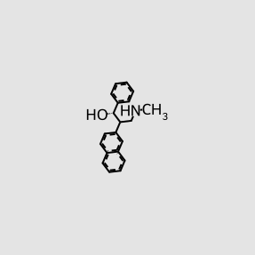 CNCC(c1ccc2ccccc2c1)[C@H](O)c1ccccc1